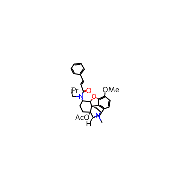 COc1ccc2c3c1OC1C(N(CC(C)C)C(=O)/C=C/c4ccccc4)CC[C@@]4(OC(C)=O)[C@@H](C2)N(C)CC[C@]314